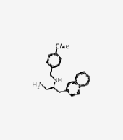 COc1ccc(CNC(CN)Cc2ccc3ccccc3c2)cc1